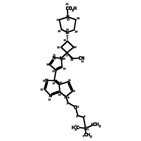 C[Si](C)(C)CCOCn1ccc2c(-c3cnn([C@]4(CC#N)C[C@H](N5CCN(C(=O)O)CC5)C4)c3)ncnc21